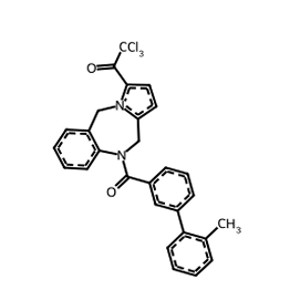 Cc1ccccc1-c1cccc(C(=O)N2Cc3ccc(C(=O)C(Cl)(Cl)Cl)n3Cc3ccccc32)c1